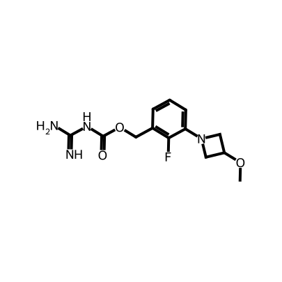 COC1CN(c2cccc(COC(=O)NC(=N)N)c2F)C1